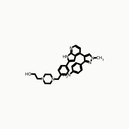 Cn1cc(-c2ccnc3[nH]c(-c4ccc(CN5CCN(CCO)CC5)cc4)cc23)c(-c2ccc(N)cc2)n1